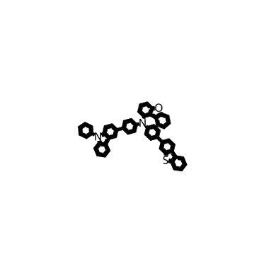 c1ccc(-n2c3ccccc3c3cc(-c4ccc(N(c5ccc(-c6ccc7c(c6)sc6ccccc67)cc5)c5cccc6oc7ccccc7c56)cc4)ccc32)cc1